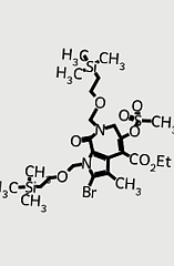 CCOC(=O)C1=C(OS(C)(=O)=O)CN(COCC[Si](C)(C)C)C(=O)c2c1c(C)c(Br)n2COCC[Si](C)(C)C